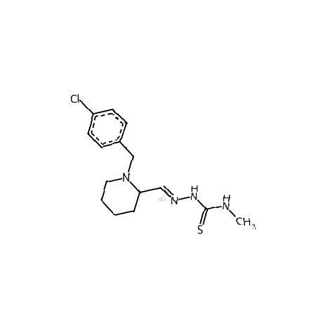 CNC(=S)N/N=C/C1CCCCN1Cc1ccc(Cl)cc1